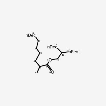 CCCCCCCCCCCCCCC(C)C(=O)OCC(CCCCC)CCCCCCCCCC